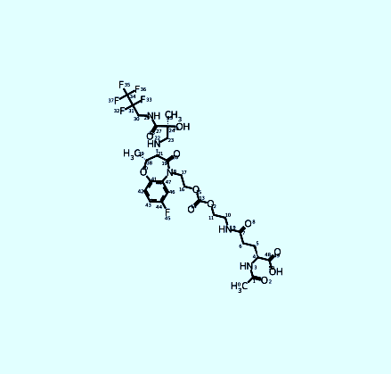 CC(=O)N[C@@H](CCC(=O)NCCOC(=O)OCCN1C(=O)[C@@H](NC[C@](C)(O)C(=O)NCC(F)(F)C(F)(F)F)[C@@H](C)Oc2ccc(F)cc21)C(=O)O